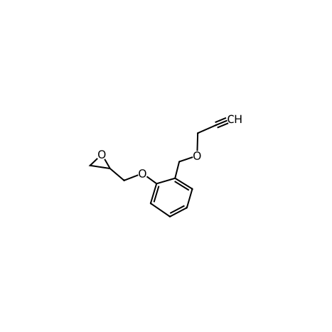 C#CCOCc1ccccc1OCC1CO1